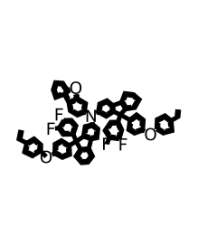 C=Cc1ccc(Oc2ccc(C3(c4ccc(F)c(F)c4)c4ccccc4-c4ccc(N(c5ccc6c(c5)C(c5ccc(Oc7ccc(C=C)cc7)cc5)(c5ccc(F)c(F)c5)c5ccccc5-6)c5ccc6c(c5)oc5ccccc56)cc43)cc2)cc1